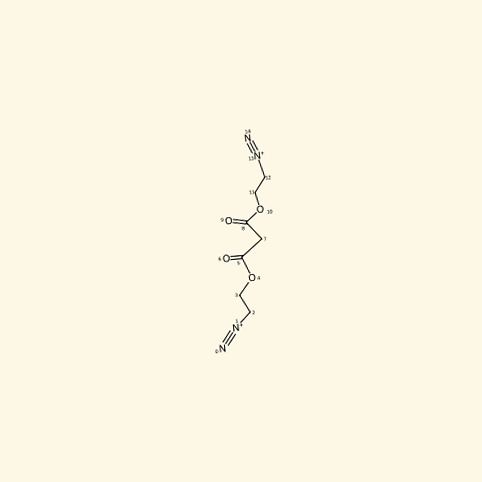 N#[N+]CCOC(=O)CC(=O)OCC[N+]#N